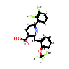 O=C(O)c1ccc(-c2cccc(F)c2F)nc1Cc1ccccc1OC(F)(F)F